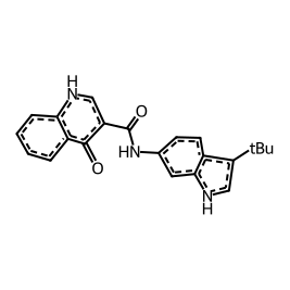 CC(C)(C)c1c[nH]c2cc(NC(=O)c3c[nH]c4ccccc4c3=O)ccc12